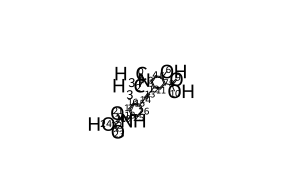 CN(C)c1cc(O)c(C(=O)O)cc1C#Cc1ccc(NC(=O)C(=O)O)cc1